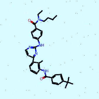 CCCCN(CC)C(=O)c1ccc(Nc2nccc(-c3cccc(NC(=O)c4ccc(C(C)(C)C)cc4)c3C)n2)cc1